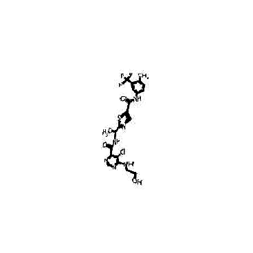 Cc1ccc(NC(=O)c2cnc(C(C)NC(=O)c3ncnc(NCCO)c3Cl)s2)cc1C(F)(F)F